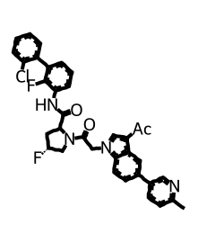 CC(=O)c1cn(CC(=O)N2C[C@H](F)CC2C(=O)Nc2cccc(-c3ccccc3Cl)c2F)c2ccc(-c3ccc(C)nc3)cc12